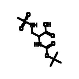 CC(C)(C)OC(=O)NC(CNS(C)(=O)=O)C(=O)O